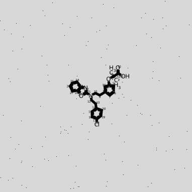 CC(C)(Oc1cccc(CCN(CCc2ccc(Cl)cc2)c2nc3ccccc3o2)c1)C(=O)O